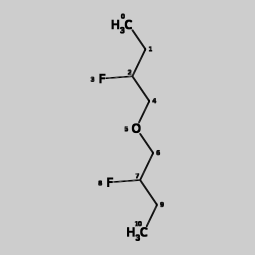 CCC(F)COCC(F)CC